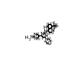 Nc1ncc(-c2cc(N3CCOCC3)nc(Nc3ccnc4c(C(F)(F)F)cccc34)n2)cn1